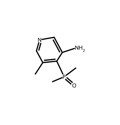 Cc1cncc(N)c1P(C)(C)=O